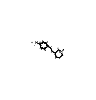 CN1CCCC(CCc2ccc(N)cc2)C1